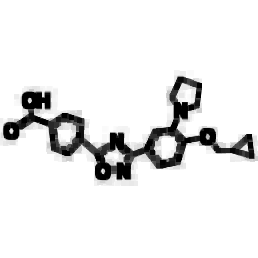 O=C(O)c1ccc(-c2nc(-c3ccc(OCC4CC4)c(N4CCCC4)c3)no2)cc1